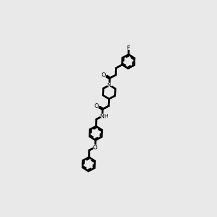 O=C(CC1CCN(C(=O)CCc2cccc(F)c2)CC1)NCc1ccc(OCc2ccccc2)cc1